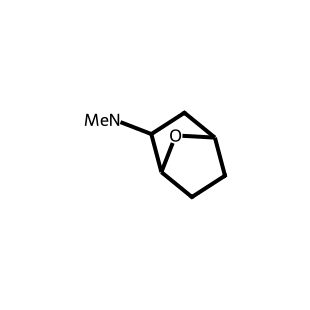 CNC1CC2CCC1O2